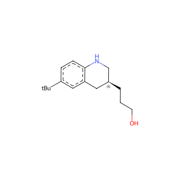 CC(C)(C)c1ccc2c(c1)C[C@H](CCCO)CN2